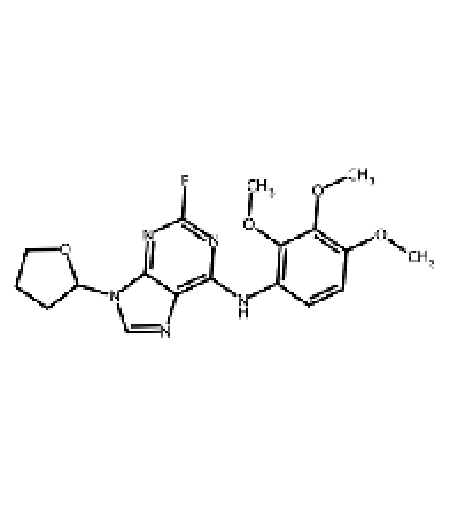 COc1ccc(Nc2nc(F)nc3c2ncn3C2CCCO2)c(OC)c1OC